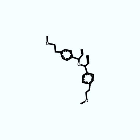 C=CC(OC(C=C)c1ccc(CCOC)cc1)c1ccc(CCOC)cc1